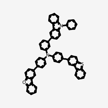 c1ccc(-n2c3ccccc3c3cc(-c4cccc(N(c5ccc(-c6ccc7oc8ccccc8c7c6)cc5)c5ccc(-c6ccc7sc8ccccc8c7c6)cc5)c4)ccc32)cc1